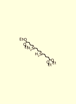 CCOC(CCC[SiH2]CCC[SiH2]CCCC(OCC)OCC)OCC